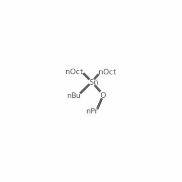 CCCCCCC[CH2][Sn]([CH2]CCC)([CH2]CCCCCCC)[O]CCC